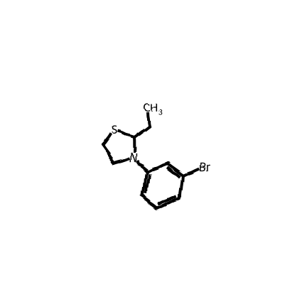 CCC1SCCN1c1cccc(Br)c1